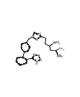 CCCCC(C)CC(N)CCc1ncn(Cc2ccc(-c3ccccc3-c3nnn[nH]3)cc2)n1